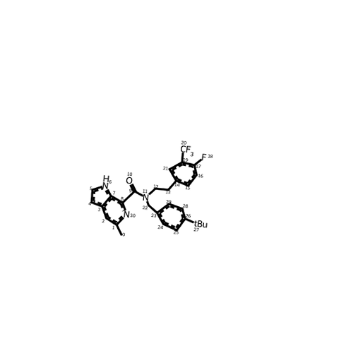 Cc1cc2cc[nH]c2c(C(=O)N(CCc2ccc(F)c(C(F)(F)F)c2)Cc2ccc(C(C)(C)C)cc2)n1